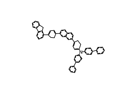 C1=C(c2ccc3ccc(C4=CC=C(N(c5ccc(-c6ccccc6)cc5)c5ccc(-c6ccccc6)cc5)CC4)cc3c2)CCC(c2cccc3c2Cc2ccccc2-3)=C1